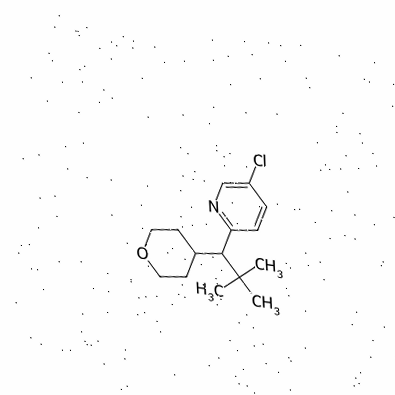 CC(C)(C)C(c1ccc(Cl)cn1)C1CCOCC1